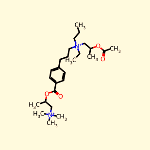 CCC[N+](CC)(CCCc1ccc(C(=O)OC(C)C[N+](C)(C)C)cc1)CC(C)OC(C)=O